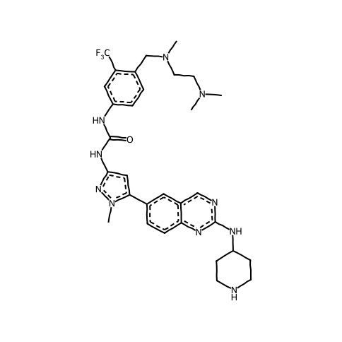 CN(C)CCN(C)Cc1ccc(NC(=O)Nc2cc(-c3ccc4nc(NC5CCNCC5)ncc4c3)n(C)n2)cc1C(F)(F)F